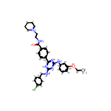 O=C(NCCN1CCCCC1)c1ccc(-c2nc(NCc3ccc(F)cc3)nc(Nc3cccc(OCC(F)(F)F)c3)n2)cc1